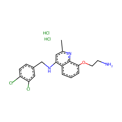 Cc1cc(NCc2ccc(Cl)c(Cl)c2)c2cccc(OCCN)c2n1.Cl.Cl